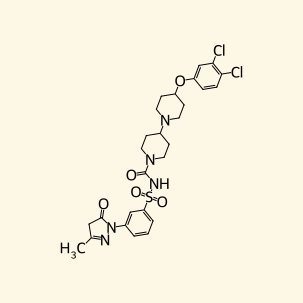 CC1=NN(c2cccc(S(=O)(=O)NC(=O)N3CCC(N4CCC(Oc5ccc(Cl)c(Cl)c5)CC4)CC3)c2)C(=O)C1